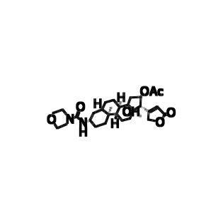 CC(=O)O[C@H]1C[C@]2(O)[C@@H]3CC[C@@H]4C[C@@H](NC(=O)N5CCOCC5)CC[C@]4(C)[C@H]3CC[C@]2(C)[C@H]1C1=CC(=O)OC1